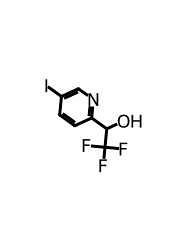 OC(c1ccc(I)cn1)C(F)(F)F